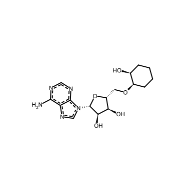 Nc1ncnc2c1ncn2[C@@H]1O[C@H](CO[C@@H]2CCCC[C@@H]2O)[C@@H](O)[C@H]1O